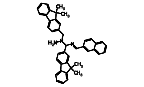 CC1(C)c2ccccc2-c2ccc(CN(N)C(/N=C/c3ccc4ccccc4c3)c3ccc4c(c3)C(C)(C)c3ccccc3-4)cc21